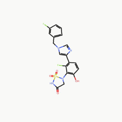 O=C1CN(c2c(O)ccc(-c3cn(Cc4cccc(F)c4)cn3)c2F)S(=O)(=O)N1